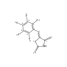 O=C1NC(=S)SC1=Cc1c(F)c(F)c(F)c(F)c1F